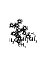 Cc1cc(C)c(-c2ccc3c(c2)c2ccccc2n3-c2cc(-c3cc(-c4ccccc4)nc(-c4ccccc4)n3)cc(-n3c4ccccc4c4cc(-c5c(C)cc(C)cc5C)ccc43)c2)c(C)c1